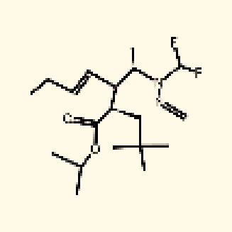 C=NN(C(F)F)[C@H](C)C(C=CCC)[C@@H](CC(C)(C)C)C(=O)OC(C)C